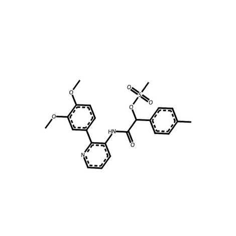 COc1ccc(-c2ncccc2NC(=O)C(OS(C)(=O)=O)c2ccc(C)cc2)cc1OC